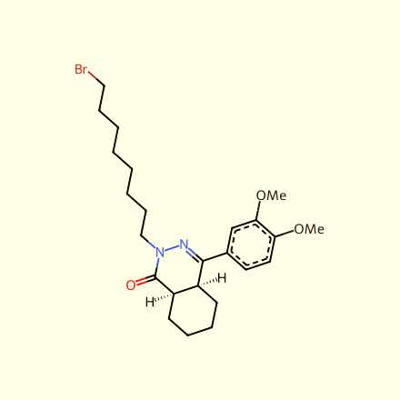 COc1ccc(C2=NN(CCCCCCCCBr)C(=O)[C@@H]3CCCC[C@H]23)cc1OC